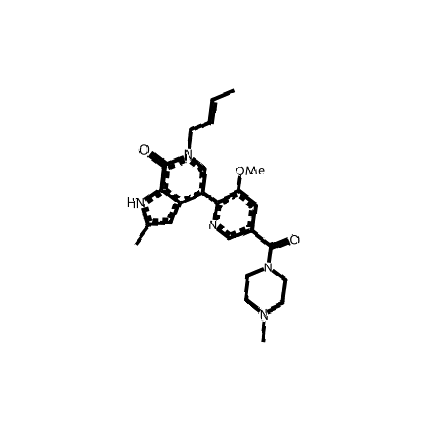 CC=CCn1cc(-c2ncc(C(=O)N3CCN(C)CC3)cc2OC)c2cc(C)[nH]c2c1=O